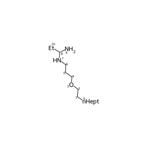 CCCCCCCCCOCCCNC(N)CC